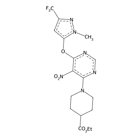 CCOC(=O)C1CCN(c2ncnc(Oc3cc(C(F)(F)F)nn3C)c2[N+](=O)[O-])CC1